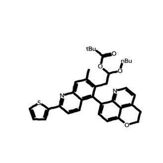 CCCCOC(Cc1c(C)cc2nc(-c3cccs3)ccc2c1-c1ccc2c3c(ccnc13)CCO2)OC(=O)C(C)(C)C